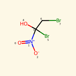 O=[N+]([O-])C(O)(Br)CBr